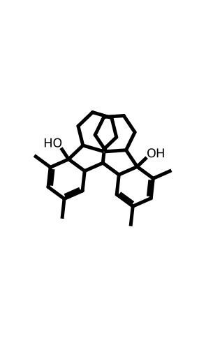 CC1=CC(C(C)C2C=C(C)C=C(C)C2(O)C2CCCCC2)C(O)(C2CCCCC2)C(C)=C1